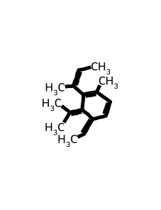 C/C=C(/C)c1c(C)cc/c(=C/C)c1=C(C)C